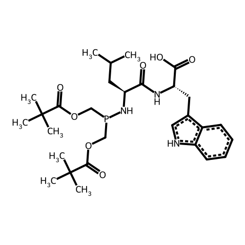 CC(C)C[C@H](NP(COC(=O)C(C)(C)C)COC(=O)C(C)(C)C)C(=O)N[C@@H](Cc1c[nH]c2ccccc12)C(=O)O